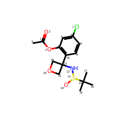 CC(=O)Oc1cc(Cl)ccc1C1(N[S+]([O-])C(C)(C)C)COC1